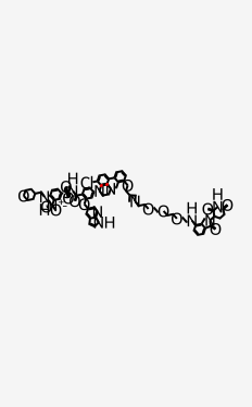 O=C1CCC(N2Cc3c(NCCOCCOCCOCCN4CC(COc5cccc(-c6ccc(Cl)cc6)c5CN5CCN(c6ccc(C(=O)NS(=O)(=O)c7ccc(NCC8CCOCC8)c([N+](=O)[O-])c7)c(Oc7cnc8[nH]ccc8c7)c6)CC5)C4)cccc3C2=O)C(=O)N1